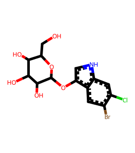 OCC1OC(Oc2c[nH]c3cc(Cl)c(Br)cc23)C(O)C(O)C1O